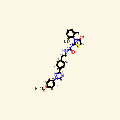 CCc1cccc(C)c1N1C(=O)CSC1=NC(=O)NCCc1ccc(-c2ncn(-c3ccc(OC(F)(F)F)cc3)n2)cc1